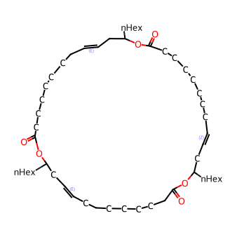 CCCCCCC1C/C=C\CCCCCCCC(=O)OC(CCCCCC)C/C=C/CCCCCCCC(=O)OC(CCCCCC)C/C=C/CCCCCCCC(=O)O1